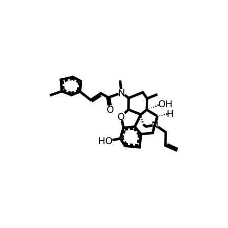 C=CCN1CC[C@]23c4c5ccc(O)c4OC2C(N(C)C(=O)/C=C/c2cccc(C)c2)CC(C)[C@@]3(O)[C@H]1C5